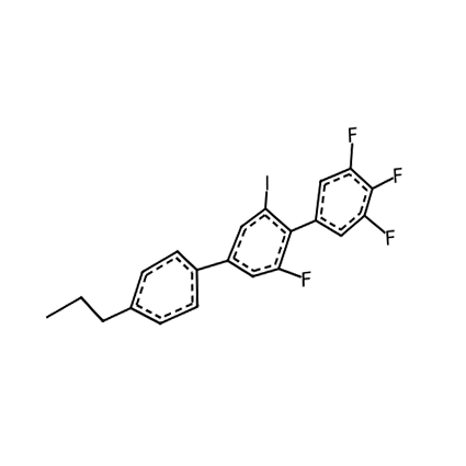 CCCc1ccc(-c2cc(F)c(-c3cc(F)c(F)c(F)c3)c(I)c2)cc1